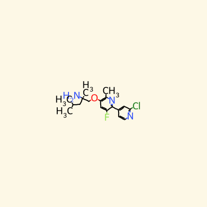 Cc1nc(-c2ccnc(Cl)c2)c(F)cc1OC[C@@](C)(N)CC(C)C